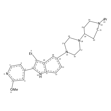 CCc1c(-c2ccnc(OC)c2)[nH]c2ccc(N3CCN(C4CCN(C(C)C)CC4)CC3)cc12